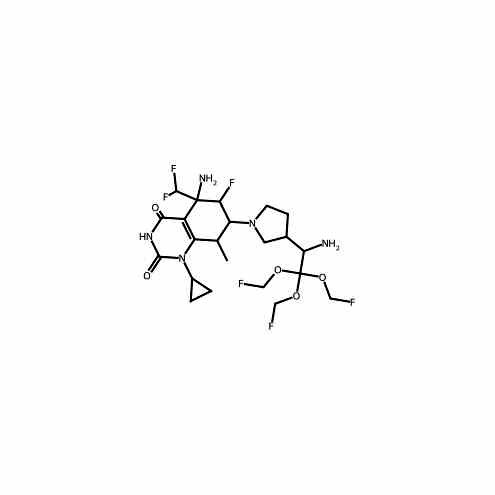 CC1c2c(c(=O)[nH]c(=O)n2C2CC2)C(N)(C(F)F)C(F)C1N1CCC(C(N)C(OCF)(OCF)OCF)C1